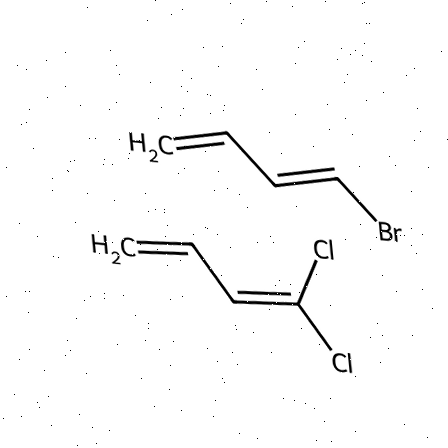 C=CC=C(Cl)Cl.C=CC=CBr